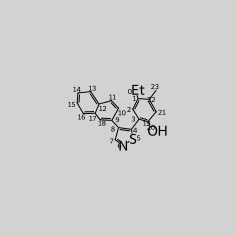 CCc1cc(-c2sncc2-c2ccc3ccccc3c2)c(O)cc1C